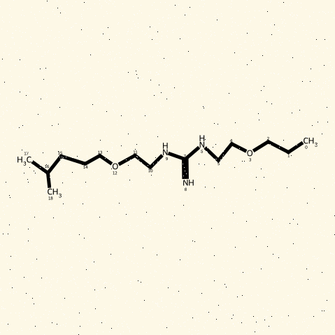 CCCOCCNC(=N)NCCOCCCC(C)C